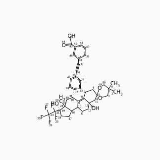 CC1(C)COC2(CCC3=C4C(CCC3(O)C2)C2CC[C@@](O)(C(F)(F)C(F)(F)F)C2(C)C[C@@H]4c2ccc(C#Cc3cccc(C(=O)O)c3)cc2)OC1